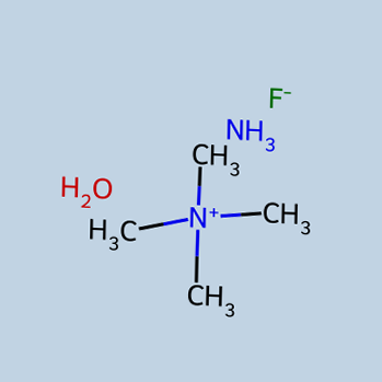 C[N+](C)(C)C.N.O.[F-]